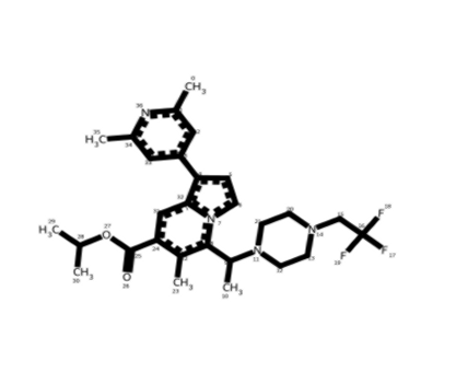 Cc1cc(-c2ccn3c(C(C)N4CCN(CC(F)(F)F)CC4)c(C)c(C(=O)OC(C)C)cc23)cc(C)n1